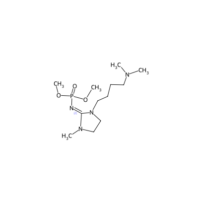 COP(=O)(/N=C1/N(C)CCN1CCCCN(C)C)OC